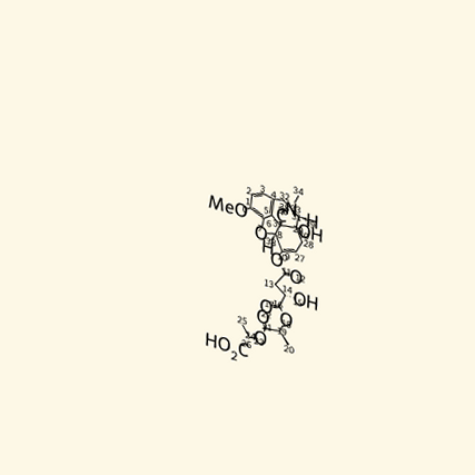 COc1ccc2c3c1O[C@H]1C(OC(=O)C[C@H](O)C(=O)O[C@@H](C)C(=O)O[C@@H](C)C(=O)O)=CC[C@@]4(O)[C@@H](C2)N(C)CC[C@]314